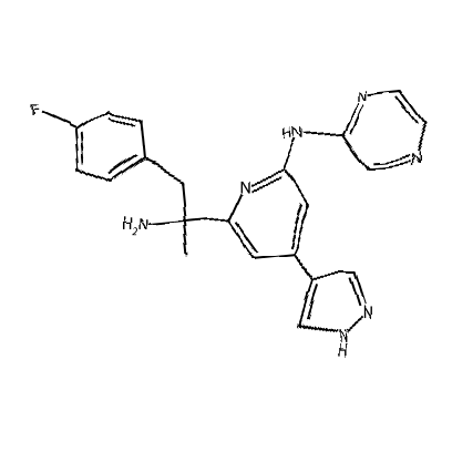 CC(N)(Cc1ccc(F)cc1)c1cc(-c2cn[nH]c2)cc(Nc2cnccn2)n1